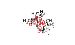 C=C(C)C(=O)OCC(CO)OC(=O)C(=C)C.C=C(C)C(=O)OCC(O)COC(=O)C(=C)C